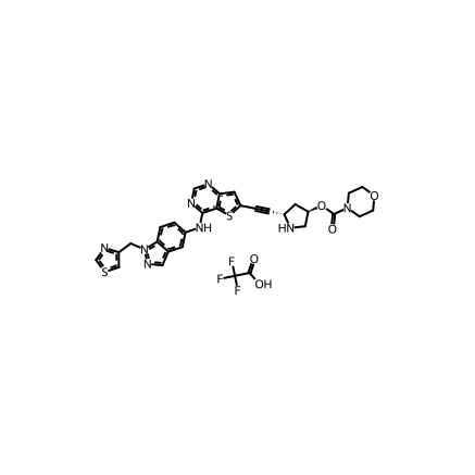 O=C(O)C(F)(F)F.O=C(O[C@H]1CN[C@H](C#Cc2cc3ncnc(Nc4ccc5c(cnn5Cc5cscn5)c4)c3s2)C1)N1CCOCC1